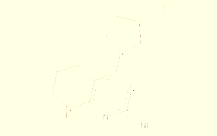 Nc1nc2c(c(N3CCC(O)C3)n1)CCCN2